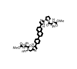 CCCN(Cc1ncc(-c2ccc(-c3ccc4cc(-c5cnc([C@@H]6CCCN6C(=O)[C@@H](NC(=O)OC)C(C)C)[nH]5)ccc4c3)cc2)[nH]1)C(=O)[C@@H](NC(=O)OC)C(C)C